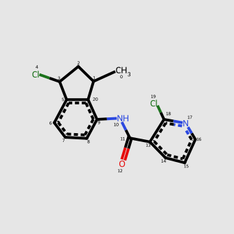 CC1CC(Cl)c2cccc(NC(=O)c3cccnc3Cl)c21